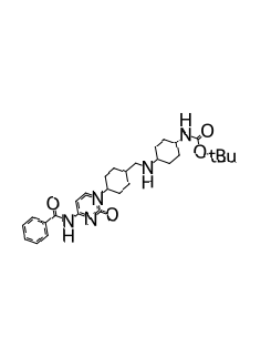 CC(C)(C)OC(=O)NC1CCC(NCC2CCC(n3ccc(NC(=O)c4ccccc4)nc3=O)CC2)CC1